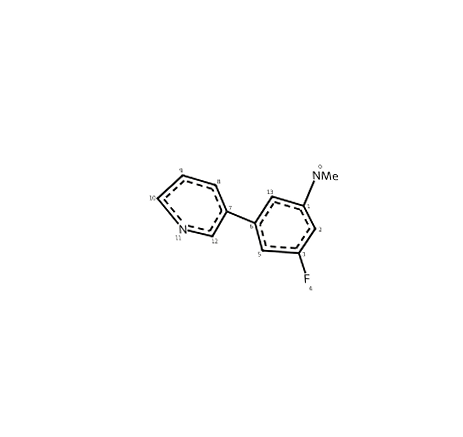 CNc1cc(F)cc(-c2cccnc2)c1